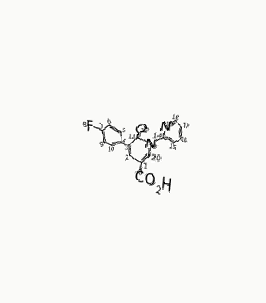 O=C(O)c1cc(-c2ccc(F)cc2)c(=O)n(-c2ccccn2)c1